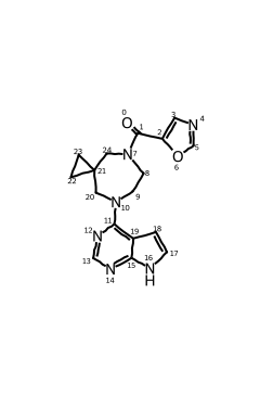 O=C(c1cnco1)N1CCN(c2ncnc3[nH]ccc23)CC2(CC2)C1